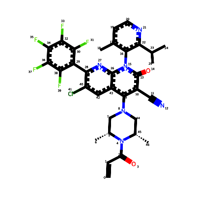 C=CC(=O)N1[C@H](C)CN(c2c(C#N)c(=O)n(-c3c(C)ccnc3C(C)C)c3nc(-c4c(F)c(F)c(F)c(F)c4F)c(Cl)cc23)C[C@@H]1C